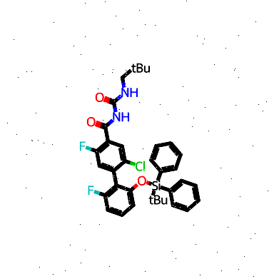 CC(C)(C)CNC(=O)NC(=O)c1cc(Cl)c(-c2c(F)cccc2O[Si](c2ccccc2)(c2ccccc2)C(C)(C)C)cc1F